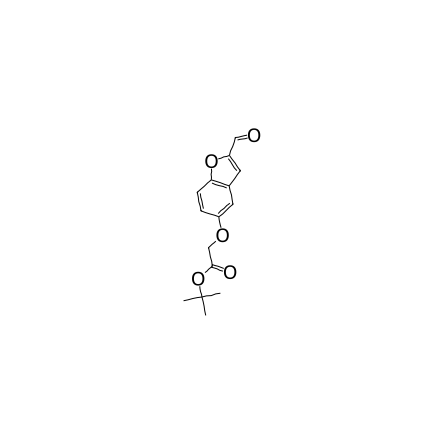 CC(C)(C)OC(=O)COc1ccc2oc(C=O)cc2c1